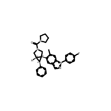 Cc1cc2c(cnn2-c2ccc(F)cc2)cc1[C@]12CN(C(=O)N3CCCC3)C[C@H]1[C@@H]2c1ccccc1